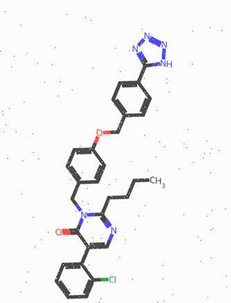 CCCCc1ncc(-c2ccccc2Cl)c(=O)n1Cc1ccc(OCc2ccc(-c3nnn[nH]3)cc2)cc1